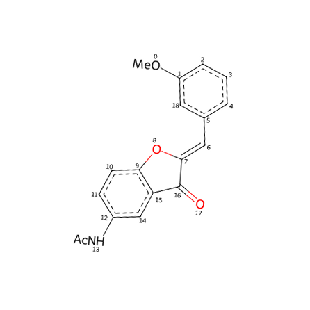 COc1cccc(/C=C2\Oc3ccc(NC(C)=O)cc3C2=O)c1